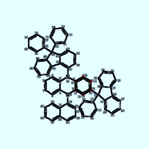 c1ccc(N(c2ccccc2N(c2ccc(C3(c4ccccc4)c4ccccc4-c4ccccc43)cc2)c2cccc3c2-c2ccccc2C3(c2ccccc2)c2ccccc2)c2cccc3ccccc23)cc1